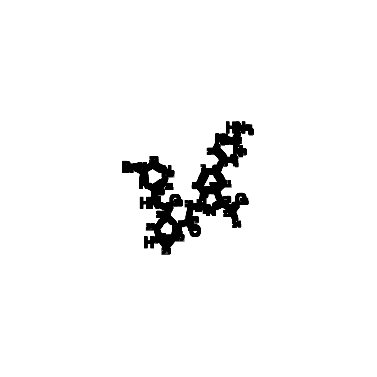 CNc1ncc(-c2ccc3c(c2)c(C(C)=O)nn3CC(=O)N2C3C[C@@H]3C[C@H]2C(=O)Nc2cncc(Br)n2)cn1